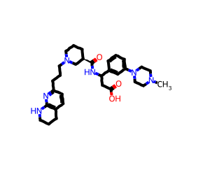 CN1CCN(c2cccc(C(CC(=O)O)NC(=O)[C@@H]3CCCN(CCCc4ccc5c(n4)NCCC5)C3)c2)CC1